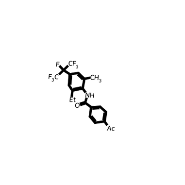 CCc1cc(C(F)(C(F)(F)F)C(F)(F)F)cc(C)c1NC(=O)c1ccc(C(C)=O)cc1